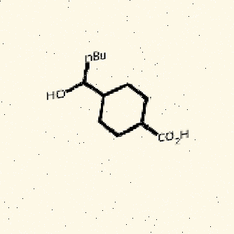 CCCCC(O)C1C[CH]C(C(=O)O)CC1